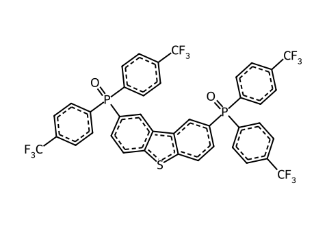 O=P(c1ccc(C(F)(F)F)cc1)(c1ccc(C(F)(F)F)cc1)c1ccc2sc3ccc(P(=O)(c4ccc(C(F)(F)F)cc4)c4ccc(C(F)(F)F)cc4)cc3c2c1